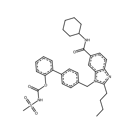 CCCCc1nc2ccc(C(=O)NC3CCCCC3)cc2n1Cc1ccc(-c2ccccc2OC(=O)NS(C)(=O)=O)cc1